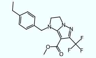 CCc1ccc(CN2CCn3nc(C(F)(F)F)c(C(=O)OC)c32)cc1